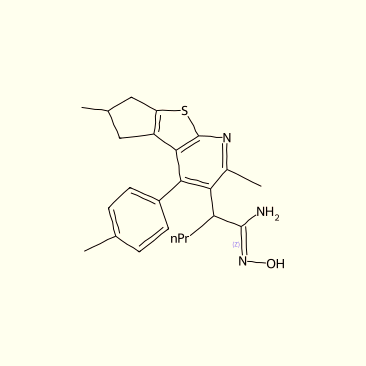 CCCC(/C(N)=N/O)c1c(C)nc2sc3c(c2c1-c1ccc(C)cc1)CC(C)C3